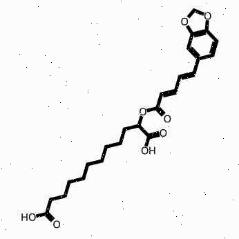 O=C(O)CCCCCCCCCC(OC(=O)C=CC=Cc1ccc2c(c1)OCO2)C(=O)O